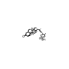 CC(C)[C@@H](CC[C@@H](C)[C@H]1CC[C@H]2[C@@H]3CCC4CC(=O)C=C[C@]4(C)[C@H]3CC[C@]12C)OS(=O)(=O)O